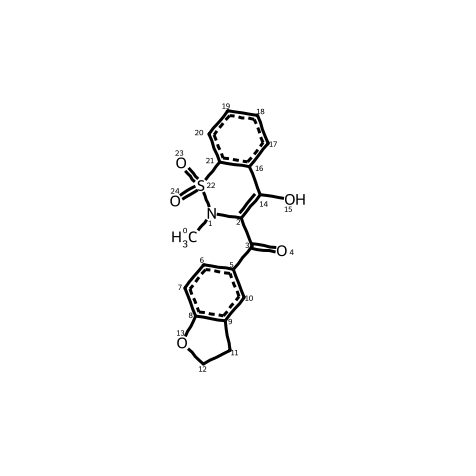 CN1C(C(=O)c2ccc3c(c2)CCO3)=C(O)c2ccccc2S1(=O)=O